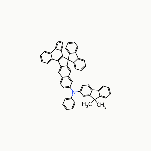 CC1(C)c2ccccc2-c2ccc(N(c3ccccc3)c3ccc4cc5c(cc4c3)C3(c4ccccc4-c4ccccc43)c3c-5c4ccccc4c4ccccc34)cc21